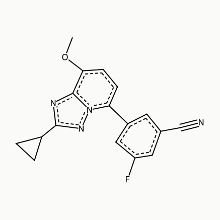 COc1ccc(-c2cc(F)cc(C#N)c2)n2nc(C3CC3)nc12